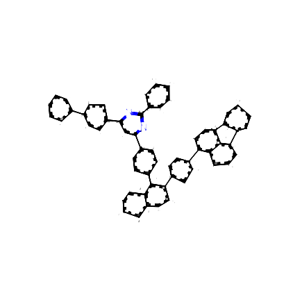 c1ccc(-c2ccc(-c3cc(-c4ccc(-c5c(-c6ccc(-c7ccc8c9c(cccc79)-c7ccccc7-8)cc6)ccc6ccccc56)cc4)nc(-c4ccccc4)n3)cc2)cc1